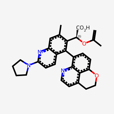 C=C(C)O[C@H](C(=O)O)c1c(C)cc2nc(N3CCCC3)ccc2c1-c1ccc2c3c(ccnc13)CCO2